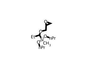 CCCO[Si](C)(OCCC)C(CC)OCC1CO1